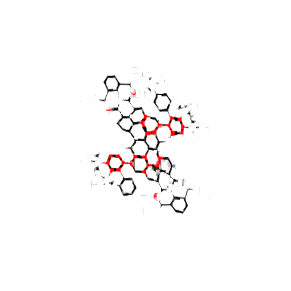 CC(C)c1cccc(C(C)C)c1N1C(=O)c2ccc3c4c(Oc5ccc(S(=O)(=O)O)cc5-c5ccccc5)c(Oc5ccc(S(=O)(=O)O)cc5-c5ccc(S(=O)(=O)O)cc5)c5c6ccc7c8c(ccc(c9c(Oc%10ccc(S(=O)(=O)O)cc%10-c%10ccc(S(=O)(=O)O)cc%10)c(Oc%10ccc(S(=O)(=O)O)cc%10-c%10ccccc%10)c(c%10ccc(c2c3%10)C1=O)c4c59)c86)C(=O)N(c1c(C(C)C)cccc1C(C)C)C7=O